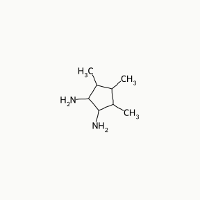 CC1C(C)C(N)C(N)C1C